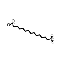 O=[N+]([O-])CCCCCCCCCCCCC[N+](=O)[O-]